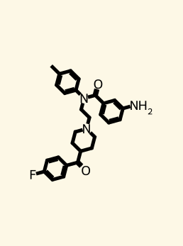 Cc1ccc(N(CCN2CCC(C(=O)c3ccc(F)cc3)CC2)C(=O)c2cccc(N)c2)cc1